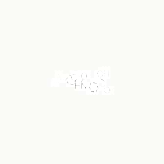 CCC(C)c1ccc(C(=O)Nc2ccc3c(c2)C(O)=CC3=O)cc1